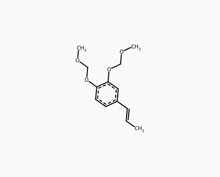 C/C=C/c1ccc(OCOC)c(OCOC)c1